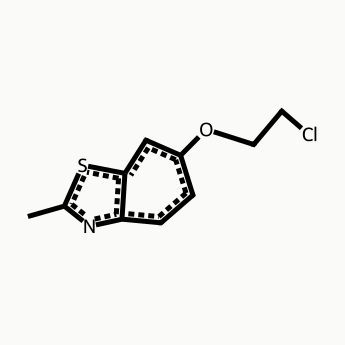 Cc1nc2ccc(OCCCl)cc2s1